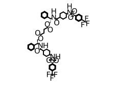 O=C(CCC(=O)OC[C@@H](NC(=O)C1CCC(NS(=O)(=O)c2ccc(C(F)(F)F)cc2)CC1)c1ccccc1)OC[C@@H](NC(=O)C1CCC(NS(=O)(=O)c2ccc(C(F)(F)F)cc2)CC1)c1ccccc1